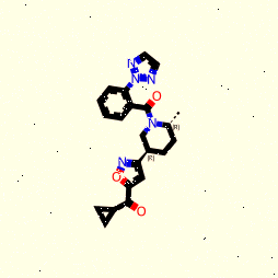 C[C@@H]1CC[C@@H](c2cc(C(=O)C3CC3)on2)CN1C(=O)c1ccccc1-n1nccn1